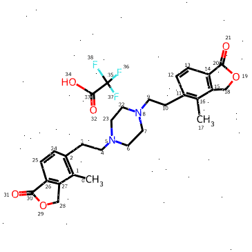 Cc1c(CCN2CCN(CCc3ccc4c(c3C)COC4=O)CC2)ccc2c1COC2=O.O=C(O)C(F)(F)F